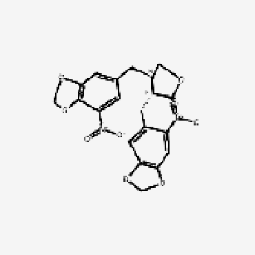 O=C1OC[C@H](Cc2cc3c(c([N+](=O)[O-])c2)OCO3)[C@H]1Cc1cc2c(cc1[N+](=O)[O-])OCO2